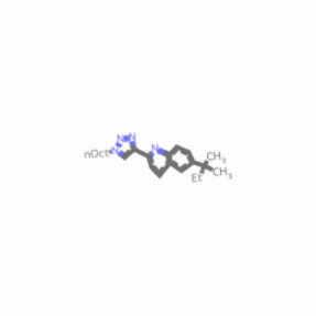 CCCCCCCCn1cc(-c2ccc3cc(C(C)(C)CC)ccc3n2)nn1